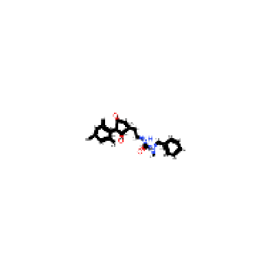 Cc1cc(C)c(C2C(=O)CC(CCNC(=O)N(C)Cc3ccccc3)C2=O)c(C)c1